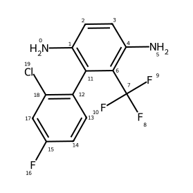 Nc1ccc(N)c(C(F)(F)F)c1-c1ccc(F)cc1Cl